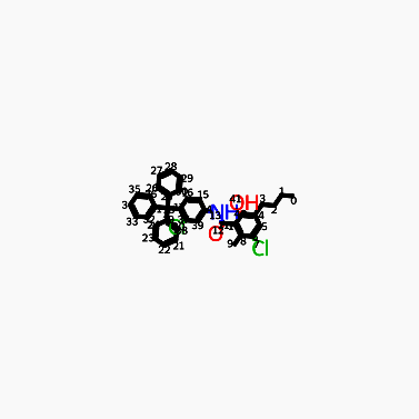 CCCCc1cc(Cl)c(C)c(C(=O)Nc2ccc(C(c3ccccc3)(c3ccccc3)c3ccccc3)c(Cl)c2)c1O